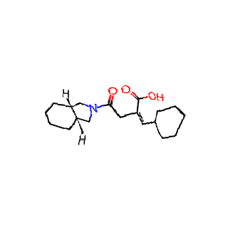 O=C(O)C(=CC1CCCCC1)CC(=O)N1C[C@H]2CCCC[C@H]2C1